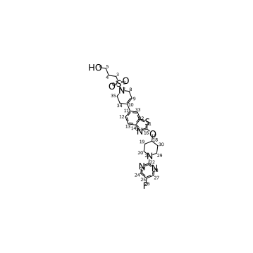 O=S(=O)(CCCO)N1CC=C(c2ccc3nc(OC4CCN(c5ncc(F)cn5)CC4)sc3c2)CC1